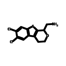 NCC1OCCc2c1sc1cc(Cl)c(Cl)cc21